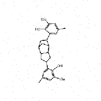 Cc1cc(C2CC3C4CC(c5cc(C)cc(C(C)(C)C)c5O)C(C4)C3C2)c(O)c(C(C)(C)C)c1